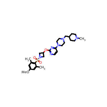 COc1cc(C)c(S(=O)(=O)N2CC(Oc3nccc(N4CCN(CC5CCN(C)CC5)CC4)n3)C2)c(C)c1